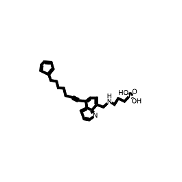 O=P(O)(O)CCCNCc1ccc(C#CCCCCCc2ccccc2)c2cccnc12